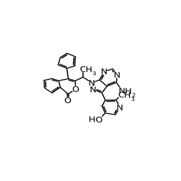 Cc1ncc(O)cc1-c1nn(C(C)c2oc(=O)c3ccccc3c2-c2ccccc2)c2ncnc(N)c12